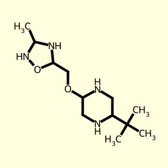 CC1NOC(COC2CNC(C(C)(C)C)CN2)N1